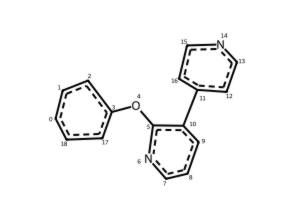 c1ccc(Oc2ncccc2-c2ccncc2)cc1